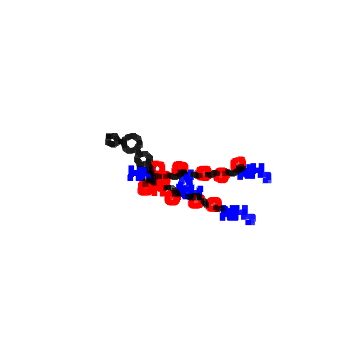 NCCOCCOCCNC(=O)CCOCC(CO)(COCCC(=O)NCCOCCOCCC(N)=O)NC(=O)C1CCC(C2CCCCC(C3CCCC3)CC2)CC1